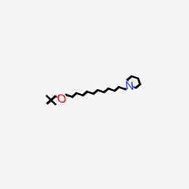 CC(C)(C)COCCCCCCCCCCCCN1CCCCC1